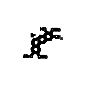 COc1cc2cc[n+]3cc4c(O)c(OC)c(C)cc4cc3c2cc1OC.[Br-]